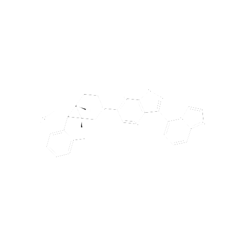 NC[C@]1(c2ccccc2F)[C@@H]2CCN(c3cnc4c(-c5cccc6nccn56)n[nH]c4n3)C[C@@H]21